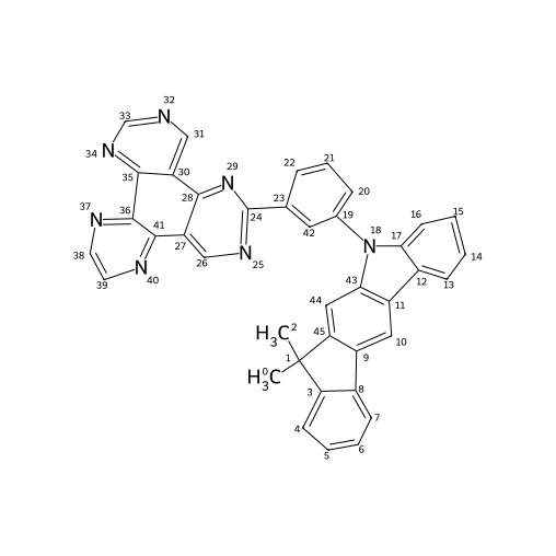 CC1(C)c2ccccc2-c2cc3c4ccccc4n(-c4cccc(-c5ncc6c(n5)c5cncnc5c5nccnc65)c4)c3cc21